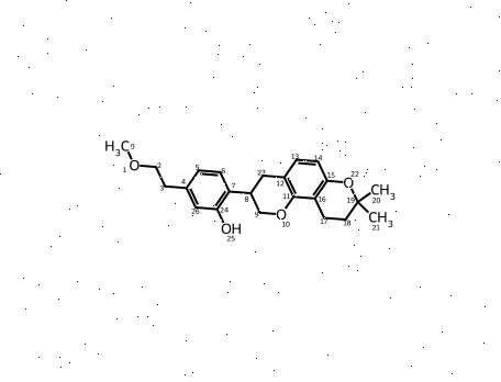 COCCc1ccc(C2COc3c(ccc4c3CCC(C)(C)O4)C2)c(O)c1